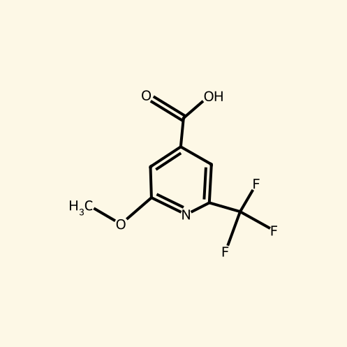 COc1cc(C(=O)O)cc(C(F)(F)F)n1